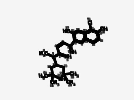 CN(C(=N)/C=C\C(=N)c1cc2ccc(O)c(Cl)c2cc1O)C1CC(C)(C)NC(C)(C)C1